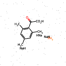 Cc1cc(C)c(C(=O)C(=O)O)c(C)c1.P.[NaH].[NaH].[NaH]